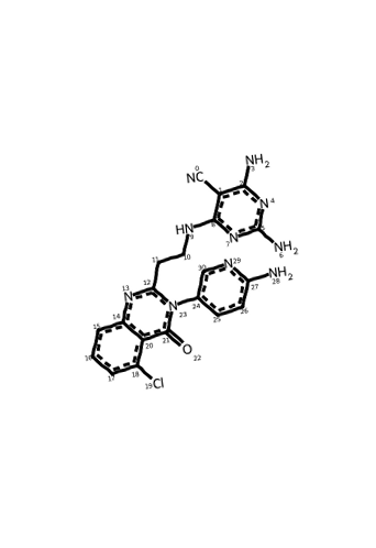 N#Cc1c(N)nc(N)nc1NCCc1nc2cccc(Cl)c2c(=O)n1-c1ccc(N)nc1